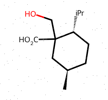 CC(C)[C@@H]1CC[C@@H](C)CC1(CO)C(=O)O